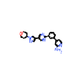 Nc1cc(-c2cccc(-c3ncc(-c4cnn(C5CCOCC5)c4)cn3)c2)ccn1